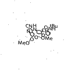 COCCOc1cc2ncc(C#N)c(Nc3ccc(Oc4cccc(C(=O)NC(C)(C)C)c4)c(C)c3)c2cc1OCCOC